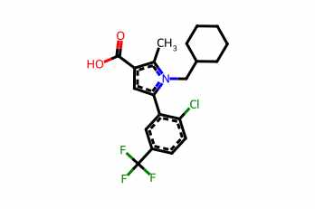 Cc1c(C(=O)O)cc(-c2cc(C(F)(F)F)ccc2Cl)n1CC1CCCCC1